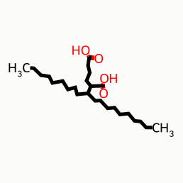 CCCCCCCCCCC(CCCCCCCCC)C(CCCC(=O)O)C(=O)O